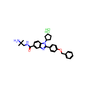 CC(C)(N)CNC(=O)c1ccc2c(c1)nc(-c1ccc(OCc3ccccc3)cc1)n2C1CCCC1.Cl.Cl